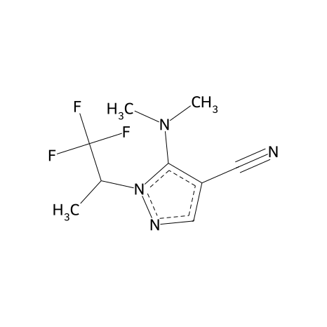 CC(n1ncc(C#N)c1N(C)C)C(F)(F)F